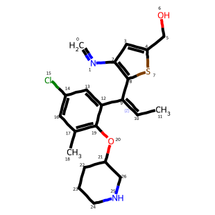 C=Nc1cc(CO)sc1/C(=C\C)c1cc(Cl)cc(C)c1OC1CCCNC1